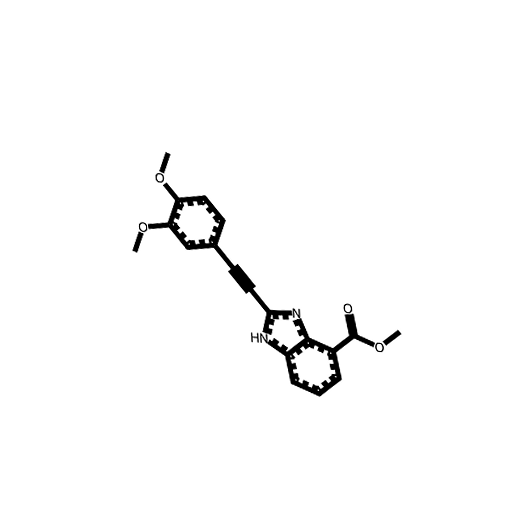 COC(=O)c1cccc2[nH]c(C#Cc3ccc(OC)c(OC)c3)nc12